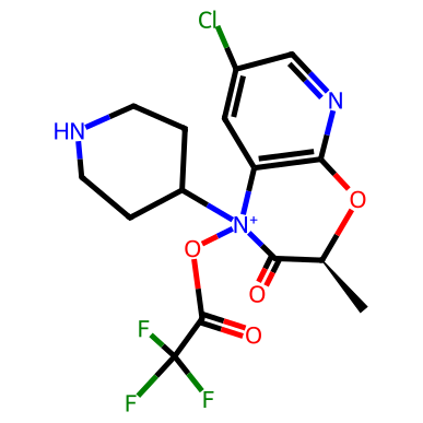 C[C@@H]1Oc2ncc(Cl)cc2[N+](OC(=O)C(F)(F)F)(C2CCNCC2)C1=O